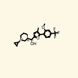 COc1cc(C(F)(F)F)ccc1-c1oc([C@H](O)[C@@H]2CCCN(C3CC3)C2)cc1C